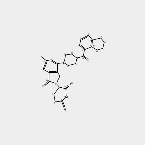 O=C1CCC(N2Cc3c(cc(F)cc3N3CCN(C(=O)c4cccc5c4CCCC5)CC3)C2=O)C(=O)N1